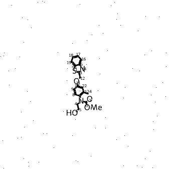 COC(=O)N(CCO)c1ccc(OCc2nc3ccccc3s2)cc1C